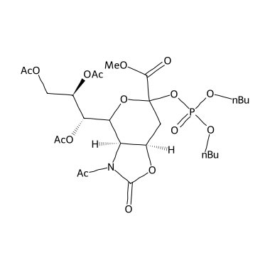 CCCCOP(=O)(OCCCC)OC1(C(=O)OC)C[C@H]2OC(=O)N(C(C)=O)[C@H]2C([C@H](OC(C)=O)[C@@H](COC(C)=O)OC(C)=O)O1